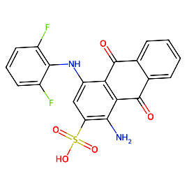 Nc1c(S(=O)(=O)O)cc(Nc2c(F)cccc2F)c2c1C(=O)c1ccccc1C2=O